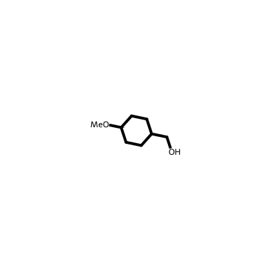 CO[C]1CCC(CO)CC1